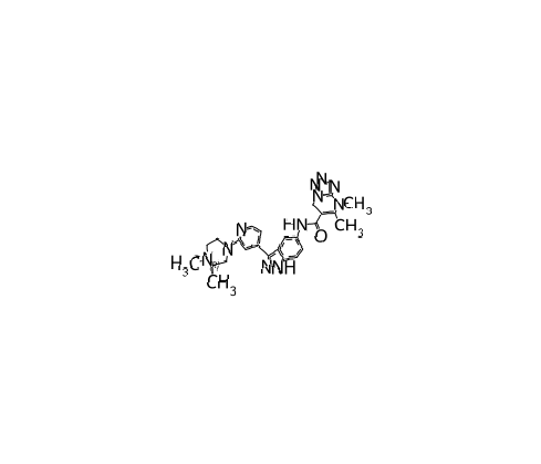 CC1=C(C(=O)Nc2ccc3[nH]nc(-c4ccnc(N5CCN(C)[C@H](C)C5)c4)c3c2)Cn2nnnc2N1C